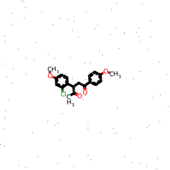 COc1ccc(C(=O)CC(C(C)=O)c2ccc(OC)cc2Cl)cc1